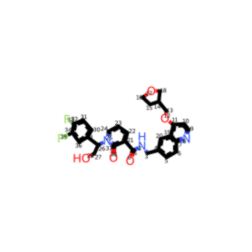 O=C(NCc1ccc2nccc(OCC3CCOC3)c2c1)c1cccn(C(CO)c2ccc(F)c(F)c2)c1=O